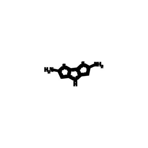 Nc1cc2[nH]c3cc(N)sc3c2s1